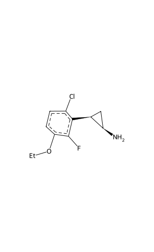 CCOc1ccc(Cl)c([C@H]2C[C@H]2N)c1F